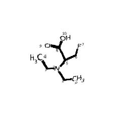 CCN(CC)C(CF)C(=O)O